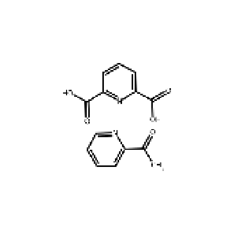 CC(=O)c1ccccn1.O=C(O)c1cccc(C(=O)O)n1